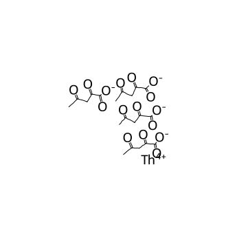 CC(=O)CC(=O)C(=O)[O-].CC(=O)CC(=O)C(=O)[O-].CC(=O)CC(=O)C(=O)[O-].CC(=O)CC(=O)C(=O)[O-].[Th+4]